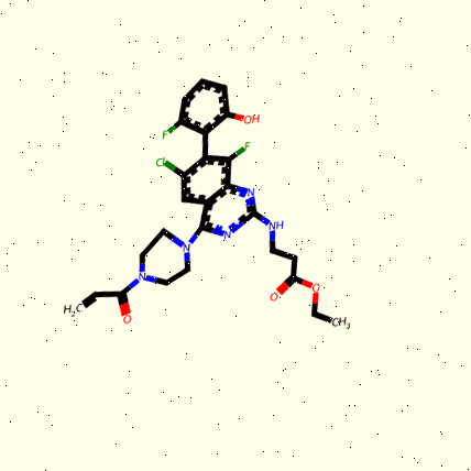 C=CC(=O)N1CCN(c2nc(NCCC(=O)OCC)nc3c(F)c(-c4c(O)cccc4F)c(Cl)cc23)CC1